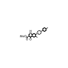 COC(=O)c1c[nH]c2cc(N3CCN(c4ccc(C)cc4)CC3)c(C)cc2c1=O